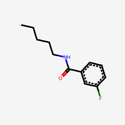 [CH2]CCCCNC(=O)c1cccc(F)c1